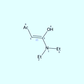 CCN(CC)/C(O)=C/C(C)=O